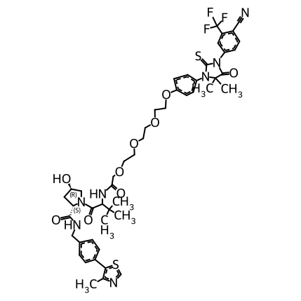 Cc1ncsc1-c1ccc(CNC(=O)[C@@H]2C[C@@H](O)CN2C(=O)C(NC(=O)COCCOCCOCCOc2ccc(N3C(=S)N(c4ccc(C#N)c(C(F)(F)F)c4)C(=O)C3(C)C)cc2)C(C)(C)C)cc1